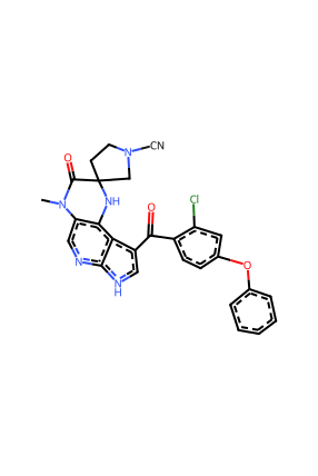 CN1C(=O)C2(CCN(C#N)C2)Nc2c1cnc1[nH]cc(C(=O)c3ccc(Oc4ccccc4)cc3Cl)c21